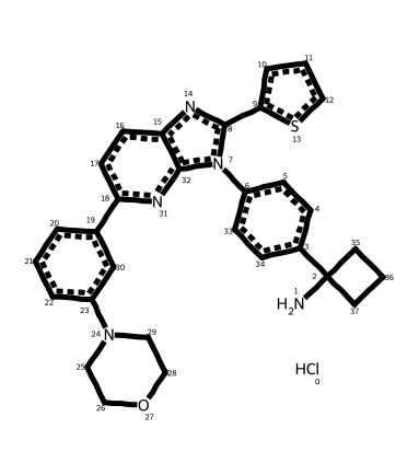 Cl.NC1(c2ccc(-n3c(-c4cccs4)nc4ccc(-c5cccc(N6CCOCC6)c5)nc43)cc2)CCC1